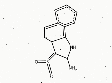 NC1NC2=c3ccccc3=CCC2C1=S(=O)=O